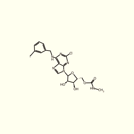 CNC(=O)OC[C@H]1OC(n2cnc3c(NCc4cccc(I)c4)nc(Cl)nc32)[C@H](O)[C@@H]1O